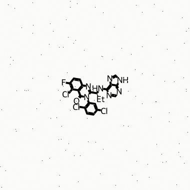 CC[C@@H](Nc1ncnc2[nH]cnc12)c1nc2ccc(F)c(Cl)c2c(=O)n1-c1cc(Cl)ccc1Cl